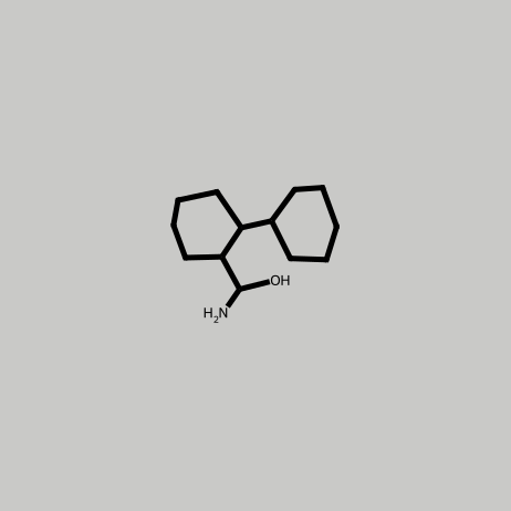 NC(O)C1CCCCC1C1CCCCC1